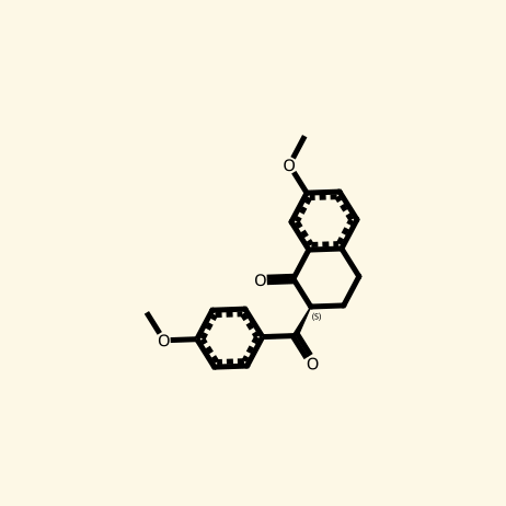 COc1ccc(C(=O)[C@@H]2CCc3ccc(OC)cc3C2=O)cc1